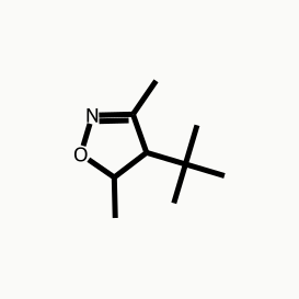 CC1=NOC(C)C1C(C)(C)C